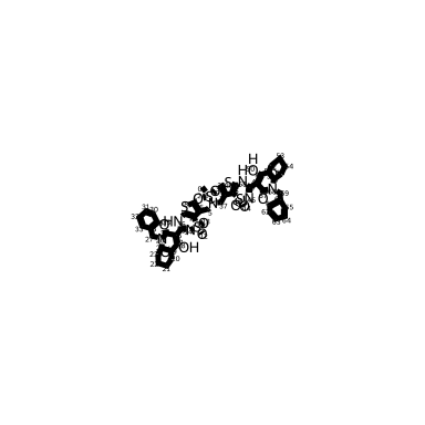 CS(=O)(=O)N(Cc1csc2c1S(=O)(=O)N=C(C1=C(O)C3C4CCC(O4)C3N(Cc3ccccc3)C1=O)N2)Cc1csc2c1S(=O)(=O)N=C(C1=C(O)C3C4CCC(O4)C3N(Cc3ccccc3)C1=O)N2